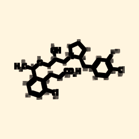 C[C@@H](OC[C@H](O)CN1CCC[C@H]1Cc1ccc(Cl)c(F)c1)c1cccc(Cl)c1CCC(=O)O